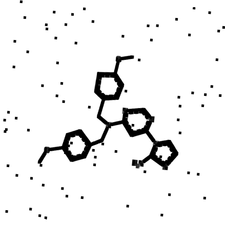 COc1ccc(CN(Cc2ccc(OC)cc2)c2cc(-n3ccnc3N)ncn2)cc1